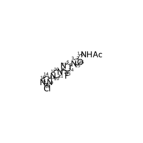 CC(=O)NCC1CN(c2cnc(N3CCN(c4ccnc(Cl)n4)CC3)c(F)c2)CO1